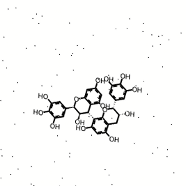 Oc1cc(O)c2c(c1)O[C@H](c1cc(O)c(O)c(O)c1)[C@H](O)[C@H]2c1c(O)cc(O)c2c1O[C@H](c1cc(O)c(O)c(O)c1)[C@H](O)C2